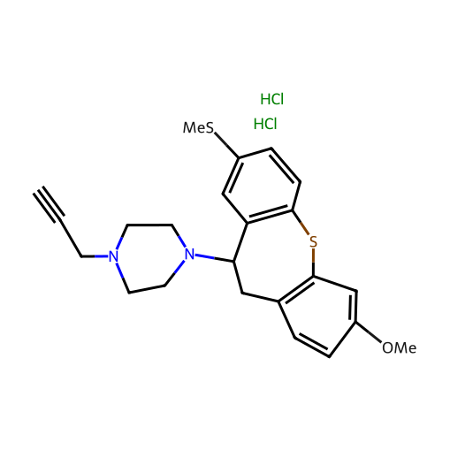 C#CCN1CCN(C2Cc3ccc(OC)cc3Sc3ccc(SC)cc32)CC1.Cl.Cl